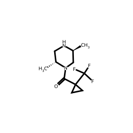 C[C@@H]1CN[C@@H](C)CN1C(=O)C1(C(F)(F)F)CC1